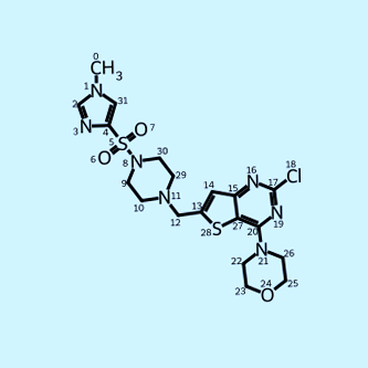 Cn1cnc(S(=O)(=O)N2CCN(Cc3cc4nc(Cl)nc(N5CCOCC5)c4s3)CC2)c1